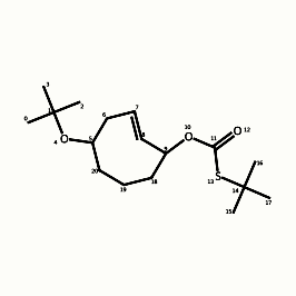 CC(C)(C)OC1C/C=C/C(OC(=O)SC(C)(C)C)CCC1